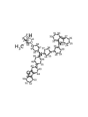 C[C@H]1CC2C[C@H]3CC(c4ccc(N(c5ccc(-c6cccc(-n7c8ccccc8c8ccccc87)c6)cc5)c5ccc(-c6ccc7c(c6)oc6ccccc67)cc5)cc4)(CC23)C1